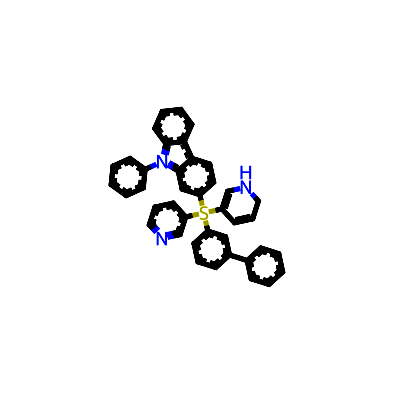 C1=CC(S(c2cccnc2)(c2cccc(-c3ccccc3)c2)c2ccc3c4ccccc4n(-c4ccccc4)c3c2)=CNC1